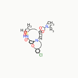 CCN(CC)[C@H]1CO[C@@H]([C@H]2CCC[C@H](C)[C@@H](C)S(=O)(=O)NC(=O)c3ccc4c(c3)N(CCCCc3cc(Cl)ccc3CO4)C[C@@H]3CC[C@H]32)OC1